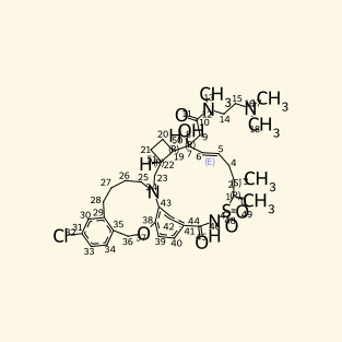 C[C@@H]1[C@@H](C)C/C=C/[C@@](O)(CC(=O)N(C)CCN(C)C)[C@@H]2CC[C@H]2CN2CCCCc3cc(Cl)ccc3COc3ccc(cc32)C(=O)NS1(=O)=O